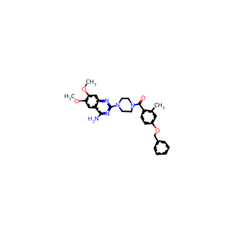 COc1cc2nc(N3CCN(C(=O)c4ccc(OCc5ccccc5)cc4C)CC3)nc(N)c2cc1OC